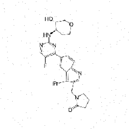 CC(C)c1c(CN2CCCC2=O)cnc2ccc(-c3nc(N[C@@H]4CCOC[C@H]4O)ncc3F)cc12